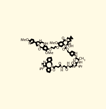 COc1ccc(C2=CN3C(=O)c4cc(OC)c(OCCCOc5cc6c(cc5OC)C(=O)N5CC7(CC7)C[C@H]5C(O)N6C(=O)OCc5ccc(NC(=O)[C@H](C)NC(=O)[C@@H](NC(=O)CNC(=O)CNC(=O)CCC(=O)N6Cc7ccccc7-c7nnn(C(C)C)c7-c7ccccc76)C(C)C)cc5)cc4NC[C@@H]3C2)cn1